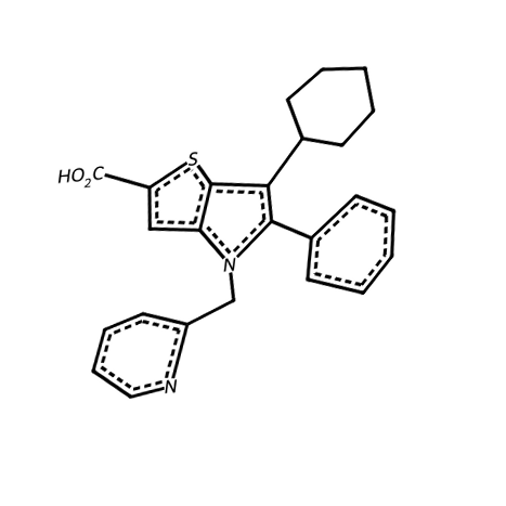 O=C(O)c1cc2c(s1)c(C1CCCCC1)c(-c1ccccc1)n2Cc1ccccn1